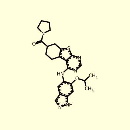 CC(C)Oc1cc2[nH]ncc2cc1Nc1ncnc2sc3c(c12)CCC(C(=O)N1CCCC1)C3